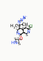 CC(C)(N=[N+]=[N-])c1cnc(OC2CNC2)c2cnc(Cl)cc12